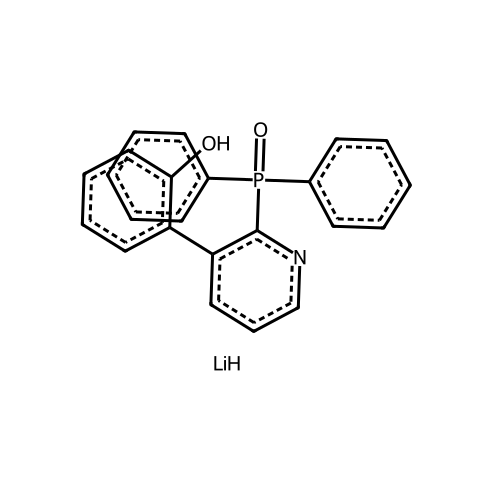 O=P(c1ccccc1)(c1ccccc1)c1ncccc1-c1ccccc1O.[LiH]